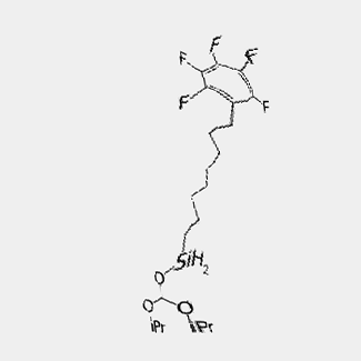 CC(C)OC(O[SiH2]CCCCCCCCc1c(F)c(F)c(F)c(F)c1F)OC(C)C